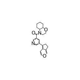 O=C(c1cncc(C2=C3C=COC=C3CC2)c1)N1CCOC2CCCCC21